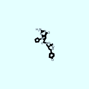 COC1(C)OOC(c2ccc(Cl)cc2)CC1COC(=O)c1cc2c(Cl)nc(N)nc2n1C1CCCC1